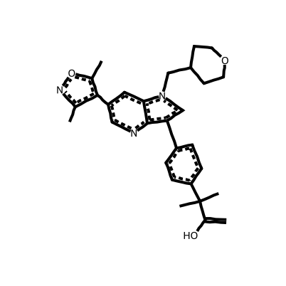 C=C(O)C(C)(C)c1ccc(-c2cn(CC3CCOCC3)c3cc(-c4c(C)noc4C)cnc23)cc1